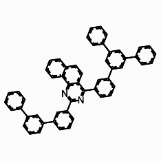 c1ccc(-c2cccc(-c3cccc(-c4nc(-c5cccc(-c6cc(-c7ccccc7)cc(-c7ccccc7)c6)c5)c5ccc6ccccc6c5n4)c3)c2)cc1